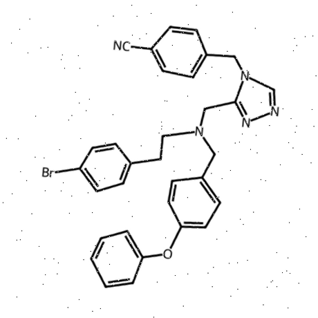 N#Cc1ccc(Cn2cnnc2CN(CCc2ccc(Br)cc2)Cc2ccc(Oc3ccccc3)cc2)cc1